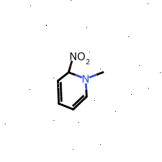 CN1C=CC=CC1[N+](=O)[O-]